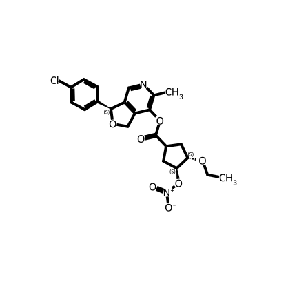 CCO[C@H]1CC(C(=O)Oc2c(C)ncc3c2CO[C@H]3c2ccc(Cl)cc2)C[C@@H]1O[N+](=O)[O-]